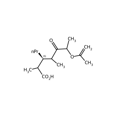 C=C(C)OC(C)C(=O)C(C)[C@H](CCC)C(C)C(=O)O